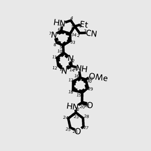 CCC1(CC#N)CNc2ncc(-c3ccnc(Nc4ccc(C(=O)NC5CCOCC5)cc4OC)n3)cc21